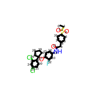 CCS(=O)(=O)c1ccc(CC(=O)Nc2ccc(OC3(c4ccc(Cl)cc4Cl)CCCC3)c(F)c2)cc1